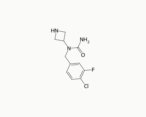 NC(=O)N(Cc1ccc(Cl)c(F)c1)C1CNC1